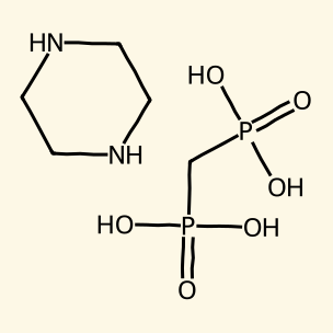 C1CNCCN1.O=P(O)(O)CP(=O)(O)O